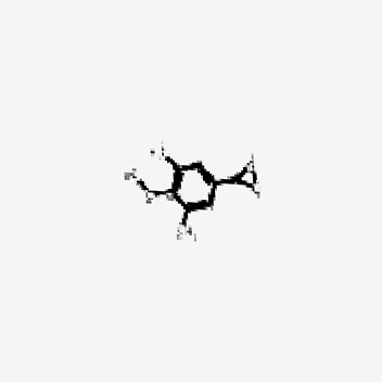 Cc1cc(C2OO2)cc(C)c1OC(C)C